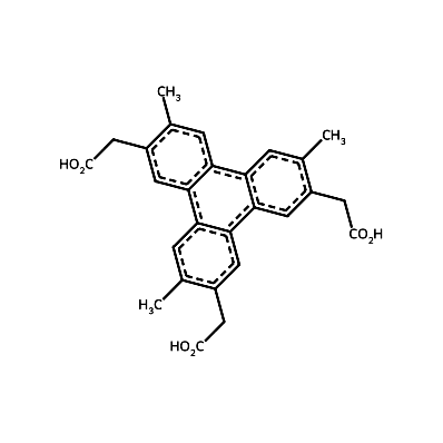 Cc1cc2c3cc(C)c(CC(=O)O)cc3c3cc(CC(=O)O)c(C)cc3c2cc1CC(=O)O